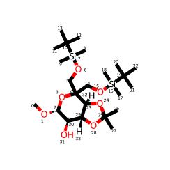 CO[C@@H]1OC(CO[Si](C)(C)C(C)(C)C)(CO[Si](C)(C)C(C)(C)C)[C@@H]2OC(C)(C)O[C@@H]2[C@H]1O